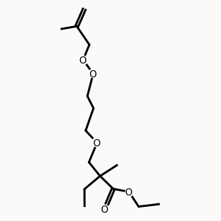 C=C(C)COOCCCOCC(C)(CC)C(=O)OCC